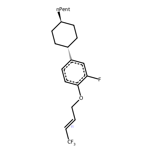 CCCCC[C@H]1CC[C@H](c2ccc(OC/C=C/C(F)(F)F)c(F)c2)CC1